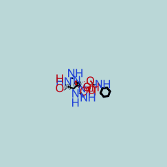 C[C@]1(O)[C@@H](OC(=O)Nc2ccccc2)CN2C(=N)N[C@@H](CO)C3NC(=N)N(O)C321